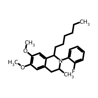 CCCCCCC1c2cc(OC)c(OC)cc2CC(C)N1c1ccccc1F